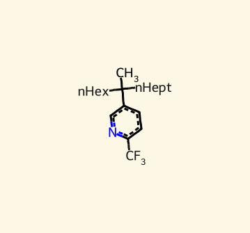 CCCCCCCC(C)(CCCCCC)c1ccc(C(F)(F)F)nc1